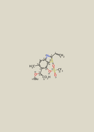 C=Cc1nc2cc(C)c([C@H](OC(C)(C)C)C(=O)O)c(OS(=O)(=O)C(F)(F)F)c2s1